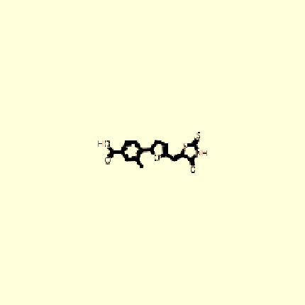 Cc1cc(C(=O)O)ccc1C1CC=C(/C=C2\SC(=S)NC2=O)O1